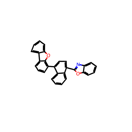 c1ccc2oc(-c3ccc(-c4cccc5c4oc4ccccc45)c4ccccc34)nc2c1